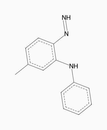 Cc1ccc(N=N)c(Nc2ccccc2)c1